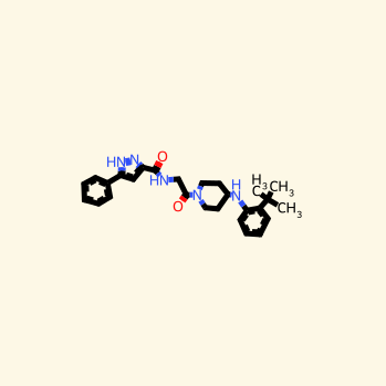 CC(C)(C)c1ccccc1NC1CCN(C(=O)CNC(=O)c2cc(-c3ccccc3)[nH]n2)CC1